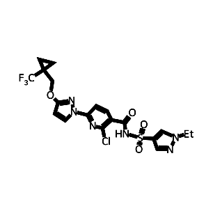 CCn1cc(S(=O)(=O)NC(=O)c2ccc(-n3ccc(OCC4(C(F)(F)F)CC4)n3)nc2Cl)cn1